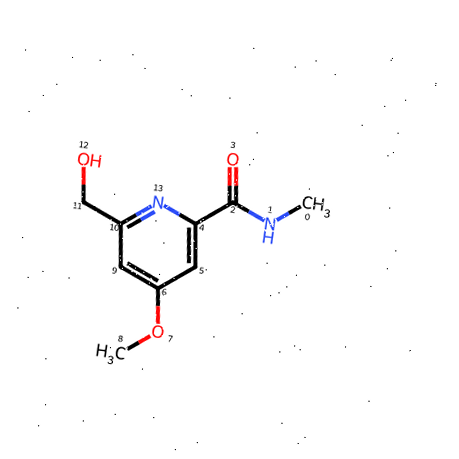 CNC(=O)c1cc(OC)cc(CO)n1